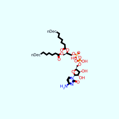 CCCCCCCCCCCCCCCC(=O)OC[C@H](COP(=O)(O)OP(=O)(O)OC[C@H]1O[C@@H](n2ccc(N)nc2=O)[C@@H](O)[C@H]1O)OC(=O)CCCCCCCCCCCCCCC